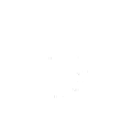 Cc1cc(F)cc(C)c1Oc1ccccc1-c1cn(C)c(=O)c2[nH]c(C(=O)O)cc12